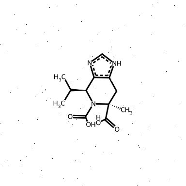 CC(C)[C@H]1c2nc[nH]c2C[C@@](C)(C(=O)O)N1C(=O)O